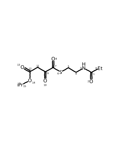 CCC(=O)NCCSC(=O)C(=O)CC(=O)OC(C)C